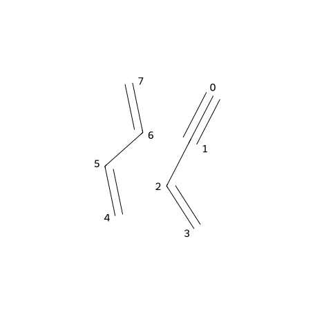 C#CC=C.C=CC=C